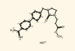 COC(=O)CCN1CCC(Cc2ccc(-c3ccc(C(=N)N)cc3)cc2)C1=O.Cl